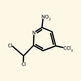 O=[N+]([O-])c1cc(C(Cl)(Cl)Cl)cc(C(Cl)Cl)n1